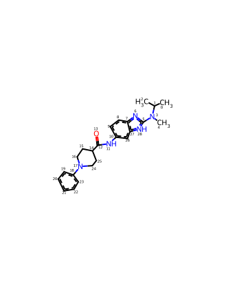 CC(C)N(C)c1nc2ccc(NC(=O)C3CCN(c4ccccc4)CC3)cc2[nH]1